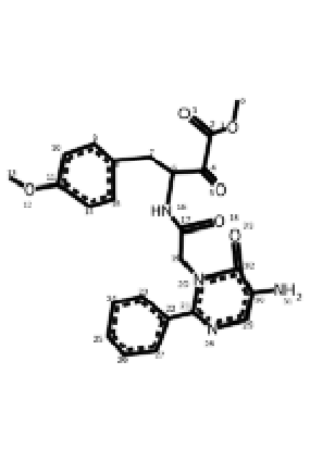 COC(=O)C(=O)C(Cc1ccc(OC)cc1)NC(=O)Cn1c(-c2ccccc2)ncc(N)c1=O